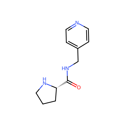 O=C(NCc1ccncc1)[C@@H]1CCCN1